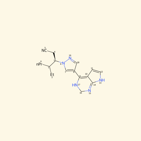 CCCC(CC)[C@@H](CC#N)n1cc(C2=c3cc[nH]c3=NCN2)cn1